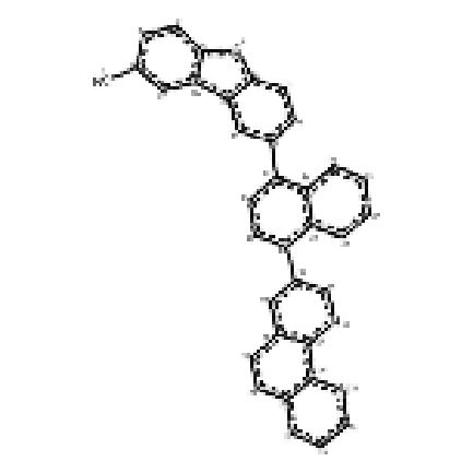 N#Cc1ccc2sc3ccc(-c4ccc(-c5cnc6c(ccc7cccnc76)c5)c5ccccc45)cc3c2c1